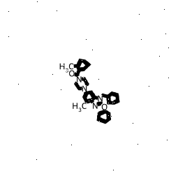 Cc1ccccc1C(=O)N1CCN(c2cc(C)c3nc(Oc4ccccc4)n(Cc4ccccc4)c3c2)CC1